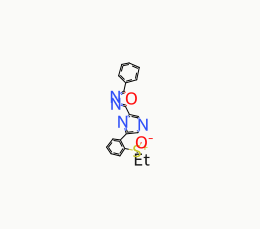 CC[S+]([O-])c1ccccc1-c1cncc(-c2nnc(-c3ccccc3)o2)n1